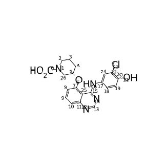 O=C(O)N1CCC[C@H](Oc2cccc3ncnc(Nc4ccc(O)c(Cl)c4)c23)C1